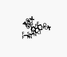 CC(C)(C)OC(=O)N1CC=C(c2cc(S(=O)(=O)N(C(=O)OC(C)(C)C)C3(C)CC3)cn3c(-c4nnc(C(F)F)s4)nc(Cl)c23)C(F)(F)C1